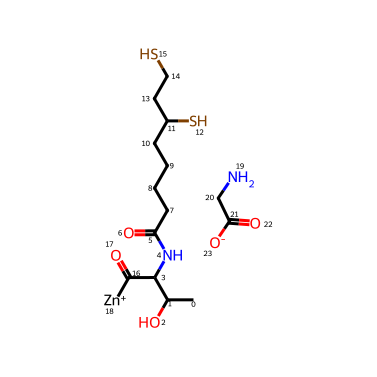 CC(O)C(NC(=O)CCCCC(S)CCS)[C](=O)[Zn+].NCC(=O)[O-]